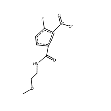 COCCNC(=O)c1ccc(F)c([N+](=O)[O-])c1